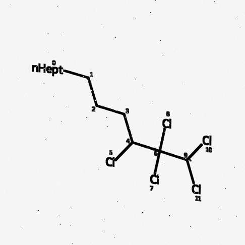 CCCCCCCCCCC(Cl)C(Cl)(Cl)[C](Cl)Cl